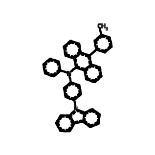 Cc1cccc(-c2c3ccccc3c(N(c3ccccc3)c3ccc(-n4c5ccccc5c5ccccc54)cc3)c3ccccc23)c1